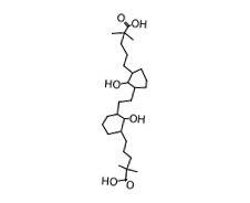 CC(C)(CCCC1CCCC(CCC2CCCC(CCCC(C)(C)C(=O)O)C2O)C1O)C(=O)O